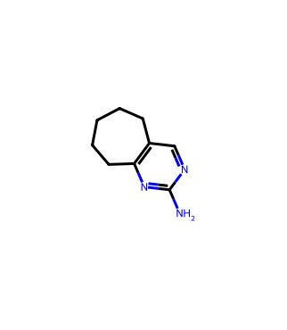 Nc1ncc2c(n1)CCCCC2